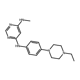 CCN1CCN(c2ccc(Nc3cc(NC)ncn3)cc2)CC1